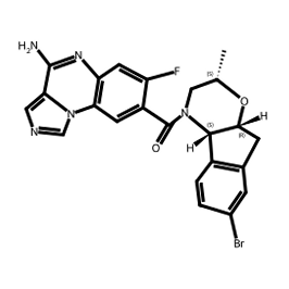 C[C@H]1CN(C(=O)c2cc3c(cc2F)nc(N)c2cncn23)[C@H]2c3ccc(Br)cc3C[C@H]2O1